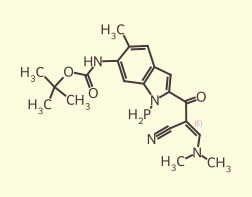 Cc1cc2cc(C(=O)/C(C#N)=C/N(C)C)n(P)c2cc1NC(=O)OC(C)(C)C